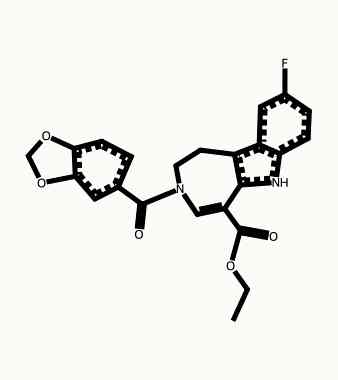 CCOC(=O)C1=CN(C(=O)c2ccc3c(c2)OCO3)CCc2c1[nH]c1ccc(F)cc21